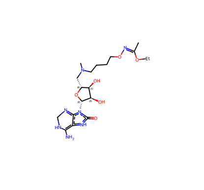 CCOC(C)=NOCCCCN(C)C[C@H]1O[C@@H](n2c(=O)[nH]c3c2=NCNC=3N)[C@H](O)[C@@H]1O